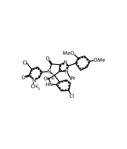 COc1ccc(-c2nc3c(n2C(C)C)[C@]2(C(=O)Nc4cc(Cl)ccc42)N(c2cc(Cl)c(=O)n(C)c2)C3=O)c(OC)c1